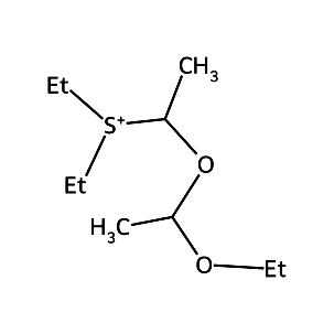 CCOC(C)OC(C)[S+](CC)CC